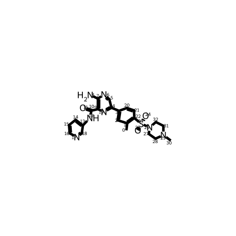 Cc1cc(-c2cnc(N)c(C(=O)Nc3cccnc3)n2)ccc1S(=O)(=O)N1CCN(C)CC1